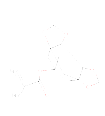 C=C(C)C(=O)OC12CC3C4OCOC4(C1)CC1(C2)OCOC31